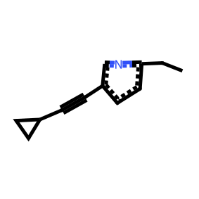 CCc1ccc(C#CC2CC2)cn1